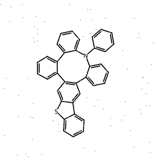 c1ccc(-n2c3ccccc3c3ccccc3c3cc4sc5ccccc5c4cc3c3ccccc32)cc1